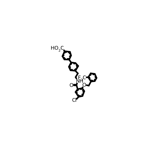 O=C(O)c1ccc(-c2ccc(CCNC(=O)c3cc(Cl)ccc3OCc3ccccc3C(F)(F)F)cc2)cc1